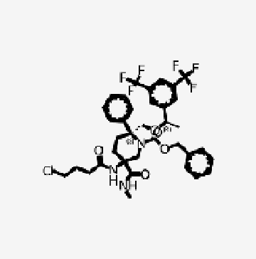 CNC(=O)C1(NC(=O)CCCCl)CC[C@@](CO[C@H](C)c2cc(C(F)(F)F)cc(C(F)(F)F)c2)(c2ccccc2)N(C(=O)OCc2ccccc2)C1